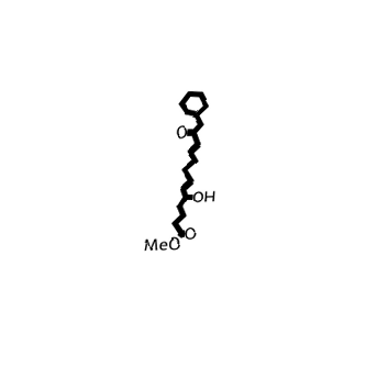 COC(=O)CCCC(O)C=CCCC=CC(=O)CC1CCCCC1